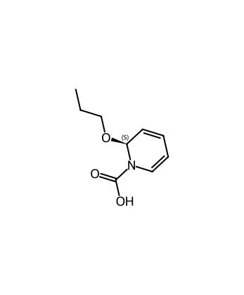 CCCO[C@H]1C=CC=CN1C(=O)O